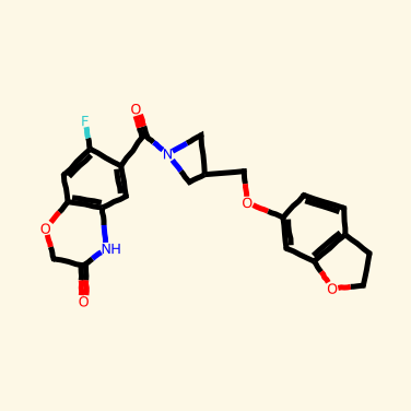 O=C1COc2cc(F)c(C(=O)N3CC(COc4ccc5c(c4)OCC5)C3)cc2N1